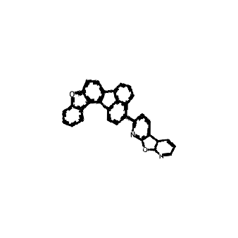 C1=CC2c3ccc(-c4ccc5c6c(cccc46)-c4ccc6oc7ccccc7c6c4-5)nc3OC2N=C1